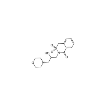 O=C1c2ccccc2CS(=O)(=O)N1CC(O)CN1CCOCC1